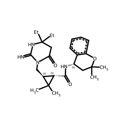 CCC1(CC)CC(=O)N(C[C@H]2[C@H](C(=O)N[C@H]3CC(C)(C)Oc4ccccc43)C2(C)C)C(=N)N1